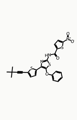 CC(C)(C)C#Cc1ccc(-c2nc(NC(=O)c3ccc([N+](=O)[O-])s3)sc2Oc2ccccc2)s1